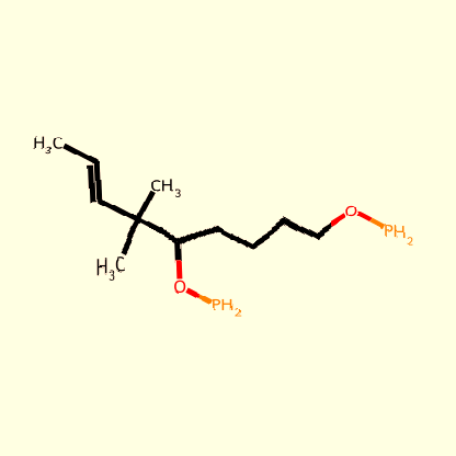 C/C=C/C(C)(C)C(CCCCOP)OP